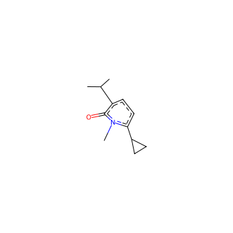 CC(C)c1ccc(C2CC2)n(C)c1=O